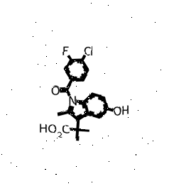 Cc1c(C(C)(C)C(=O)O)c2cc(O)ccc2n1C(=O)c1ccc(Cl)c(F)c1